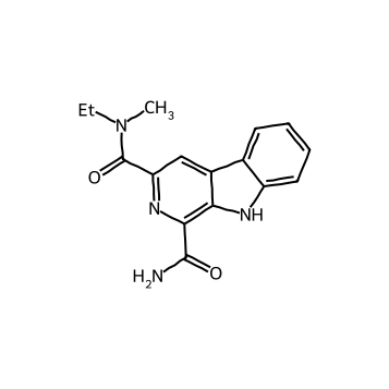 CCN(C)C(=O)c1cc2c([nH]c3ccccc32)c(C(N)=O)n1